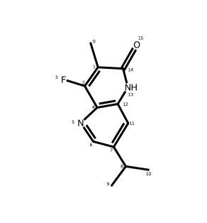 Cc1c(F)c2ncc(C(C)C)cc2[nH]c1=O